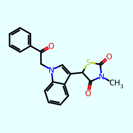 CN1C(=O)SC(c2cn(CC(=O)c3ccccc3)c3ccccc23)C1=O